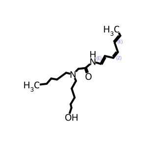 C/C=C/C=C\C=C\NC(=O)CN(CCCCC)CCCCCO